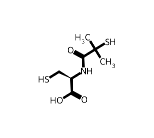 CC(C)(S)C(=O)N[C@H](CS)C(=O)O